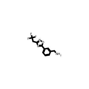 NCc1cccc(-c2nc(CC(F)(F)F)no2)c1